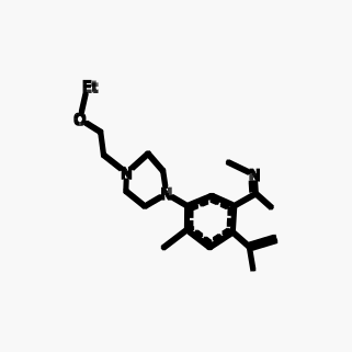 C=C(C)c1cc(C)c(N2CCN(CCOCC)CC2)cc1/C(C)=N\C